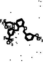 O[C@H](CNc1cccc(OCc2cccc(OC(F)(F)F)c2)c1Cc1cccc(C(F)(F)C(F)(F)F)c1)C(F)(F)F